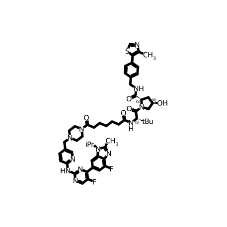 Cc1ncsc1-c1ccc(CNC(=O)[C@@H]2C[C@@H](O)CN2C(=O)[C@@H](NC(=O)CCCCCC(=O)N2CCN(Cc3ccc(Nc4ncc(F)c(-c5cc(F)c6nc(C)n(C(C)C)c6c5)n4)nc3)CC2)C(C)(C)C)cc1